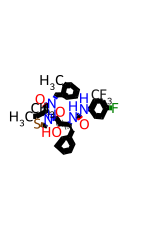 Cc1ccccc1CNC(=O)[C@H]1N(C(=O)[C@@H](O)[C@H](Cc2ccccc2)NC(=O)Nc2ccc(F)c(C(F)(F)F)c2)CSC1(C)C